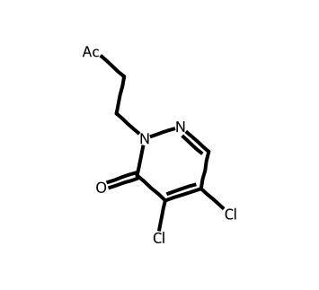 CC(=O)CCn1ncc(Cl)c(Cl)c1=O